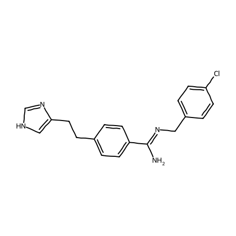 NC(=NCc1ccc(Cl)cc1)c1ccc(CCc2c[nH]cn2)cc1